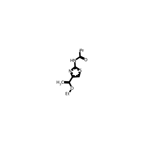 C=C(OCC)c1csc(NC(=O)C(C)C)n1